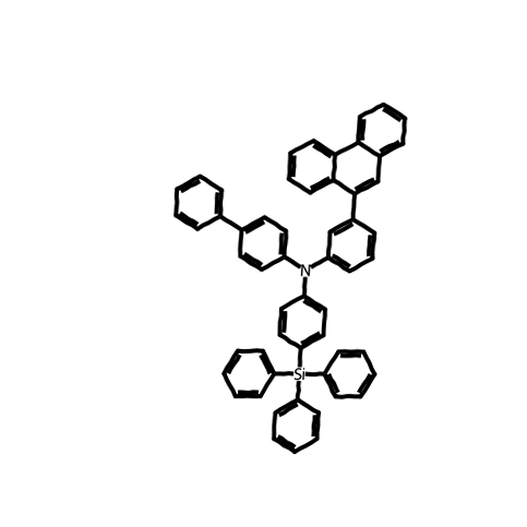 c1ccc(-c2ccc(N(c3ccc([Si](c4ccccc4)(c4ccccc4)c4ccccc4)cc3)c3cccc(-c4cc5ccccc5c5ccccc45)c3)cc2)cc1